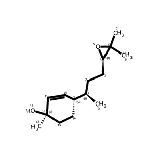 C[C@H](CC[C@H]1OC1(C)C)[C@H]1C=C[C@](C)(O)CC1